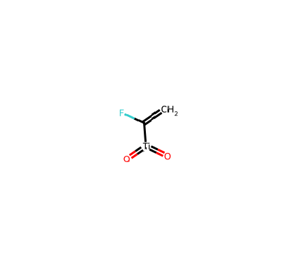 C=[C](F)[Ti](=[O])=[O]